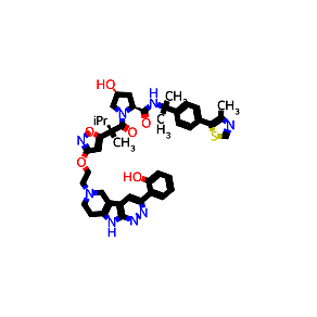 Cc1ncsc1-c1ccc(C(C)(C)NC(=O)[C@@H]2C[C@@H](O)CN2C(=O)[C@](C)(c2cc(OCCN3CCc4[nH]c5nnc(-c6ccccc6O)cc5c4C3)no2)C(C)C)cc1